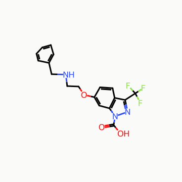 O=C(O)n1nc(C(F)(F)F)c2ccc(OCCNCc3ccccc3)cc21